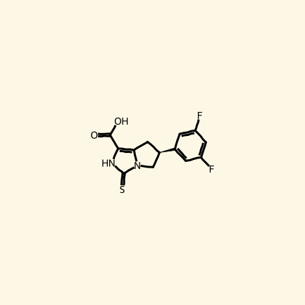 O=C(O)c1[nH]c(=S)n2c1C[C@@H](c1cc(F)cc(F)c1)C2